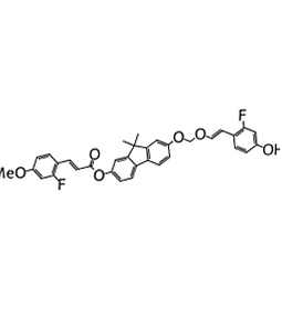 COc1ccc(C=CC(=O)Oc2ccc3c(c2)C(C)(C)c2cc(OCOC=Cc4ccc(O)cc4F)ccc2-3)c(F)c1